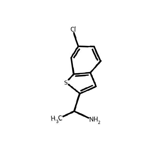 CC(N)c1cc2ccc(Cl)cc2s1